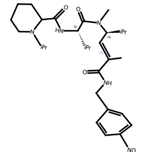 C/C(=C\[C@H](C(C)C)N(C)C(=O)[C@@H](NC(=O)C1CCCCN1C(C)C)C(C)C)C(=O)NCc1ccc([N+](=O)[O-])cc1